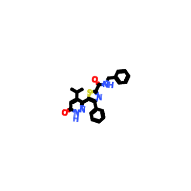 CC(C)c1cc(=O)[nH]nc1-c1sc(C(=O)NCc2ccccc2)nc1-c1ccccc1